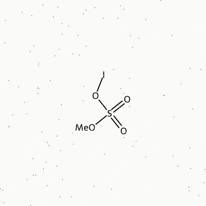 COS(=O)(=O)OI